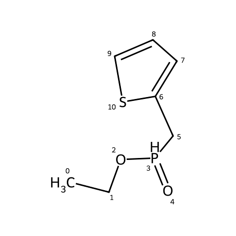 CCO[PH](=O)Cc1cccs1